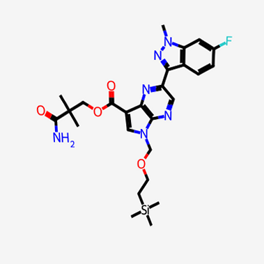 Cn1nc(-c2cnc3c(n2)c(C(=O)OCC(C)(C)C(N)=O)cn3COCC[Si](C)(C)C)c2ccc(F)cc21